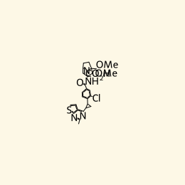 COC(OC)C12CCC(CC(NC(=O)c3ccc(C4CC4c4nc(C)nc5sccc45)c(Cl)c3)C1)N2C(=O)O